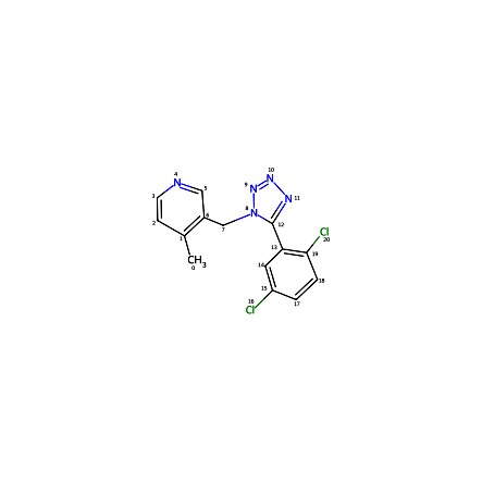 Cc1ccncc1Cn1nnnc1-c1cc(Cl)ccc1Cl